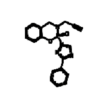 C#CCN1Cc2ccccc2OP1(=O)n1cnc(-c2ccccc2)n1